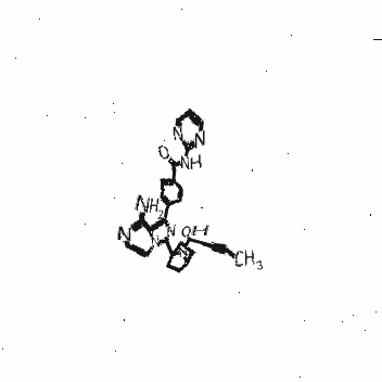 CC#CC(O)N1C2CCC1(c1nc(-c3ccc(C(=O)Nc4ncccn4)cc3)c3c(N)nccn13)CC2